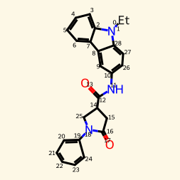 CCn1c2ccccc2c2cc(NC(=O)C3CC(=O)N(c4ccccc4)C3)ccc21